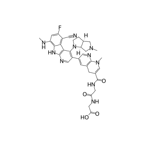 CNc1cc(F)c(C#N)c2c1[nH]c1ncc(-c3cnc4c(c3)CC(C(=O)NCC(=O)NCC(=O)O)=CN4C)c(N3CC[C@H]4CN(C)C[C@H]43)c12